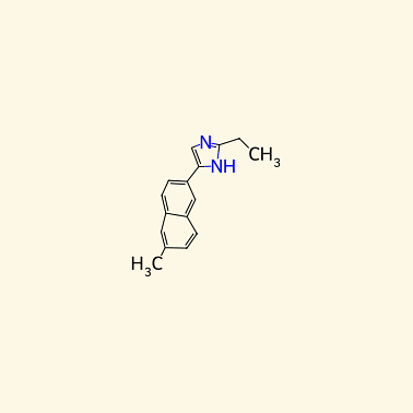 CCc1ncc(-c2ccc3cc(C)ccc3c2)[nH]1